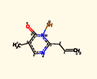 C=CCc1ncc(C)c(=O)n1S